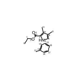 CCOC(=O)c1[nH]cc(C)c1C.Cc1ccccc1